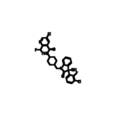 O=C(NC1CCC(CN2C(=O)C(O)(c3cccc(Cl)c3F)c3ccccc32)CC1)c1cc(Cl)cnc1C(F)F